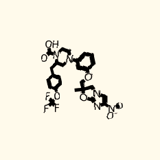 CC1(COc2cccc(N3CCN(C(=O)O)C(Cc4ccc(OC(F)(F)F)cc4)C3)c2)Cn2cc([N+](=O)[O-])nc2O1